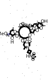 CO/N=C1\C[C@@H](C)O[C@@H](O[C@@H]2[C@@H](C)[C@H](O[C@H]3CC(C)N([C@H]4C[C@H](NS(C)(=O)=O)C4)C[C@H](C)O3)[C@@H](C)C(=O)O[C@H]([C@@H](C)CO[C@@H]3O[C@H](C)[C@@H](O)[C@@H](C)[C@H]3OC)[C@H](C)[C@@H](OC(=O)CC(C)C)[C@@H](C)C(=O)[C@@](C)(O)C[C@@H]2C)[C@@H]1O